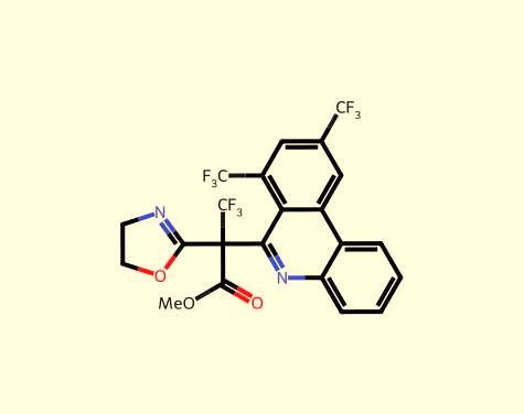 COC(=O)C(C1=NCCO1)(c1nc2ccccc2c2cc(C(F)(F)F)cc(C(F)(F)F)c12)C(F)(F)F